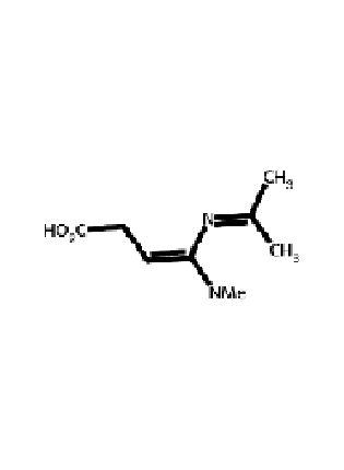 CN/C(=C/CC(=O)O)N=C(C)C